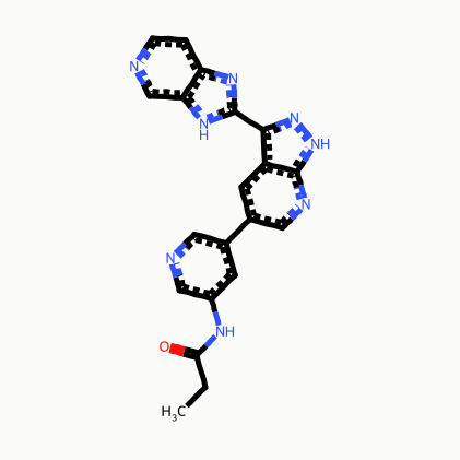 CCC(=O)Nc1cncc(-c2cnc3[nH]nc(-c4nc5ccncc5[nH]4)c3c2)c1